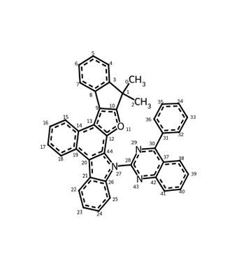 CC1(C)c2ccccc2-c2c1oc1c2c2ccccc2c2c3ccccc3n(-c3nc(-c4ccccc4)c4ccccc4n3)c12